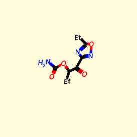 CCc1nc(C(=O)C(CC)OC(N)=O)no1